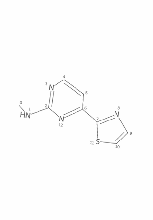 CNc1nccc(-c2nccs2)n1